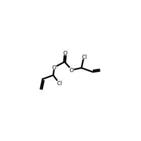 C=CC(Cl)OC(=O)OC(Cl)C=C